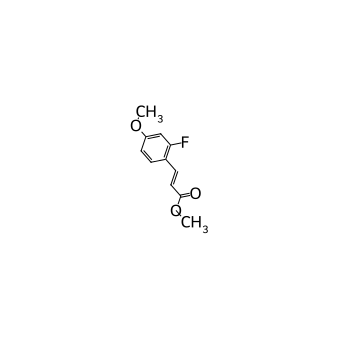 COC(=O)C=Cc1ccc(OC)cc1F